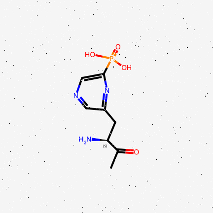 CC(=O)[C@@H](N)Cc1cncc(P(=O)(O)O)n1